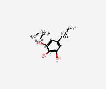 CC(=O)O.CC(=O)O.CC(=O)O.O=C(O)c1cc(O)c(O)c(O)c1